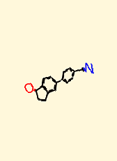 N#Cc1ccc(-c2ccc3c(c2)CCC3=O)cc1